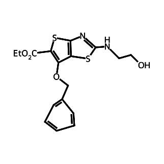 CCOC(=O)c1sc2nc(NCCO)sc2c1OCc1ccccc1